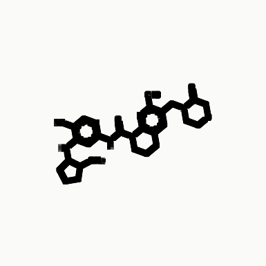 COC1CCCC1Nc1cc(NC(=O)N2CCCc3cc(CN4CCOCC4=O)c(C=O)nc32)ncc1C#N